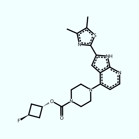 Cc1nc(-c2cc3c(N4CCN(C(=O)O[C@H]5C[C@H](F)C5)CC4)ccnc3[nH]2)sc1C